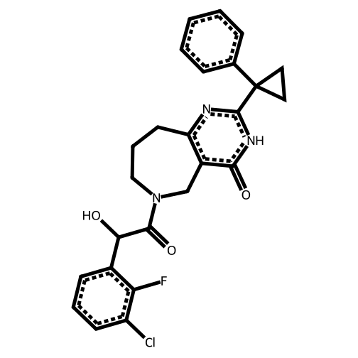 O=C(C(O)c1cccc(Cl)c1F)N1CCCc2nc(C3(c4ccccc4)CC3)[nH]c(=O)c2C1